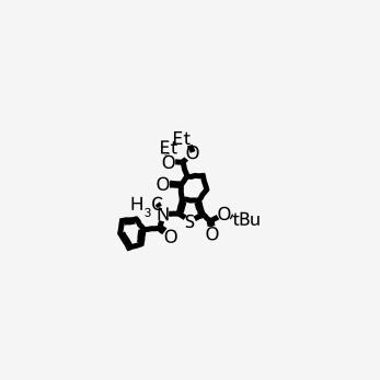 CCOC(OCC)C1CCc2c(C(=O)OC(C)(C)C)sc(N(C)C(=O)c3ccccc3)c2C1=O